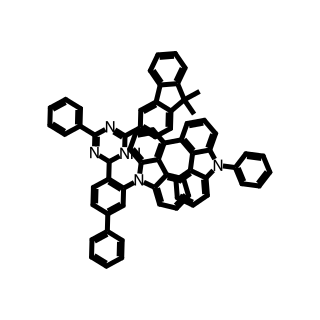 CC1(C)c2ccccc2-c2cc(C3=NC(c4ccccc4)=NC(c4ccc(-c5ccccc5)cc4-n4c5ccccc5c5c(-c6cccc7c6c6ccccc6n7-c6ccccc6)cccc54)N3)ccc21